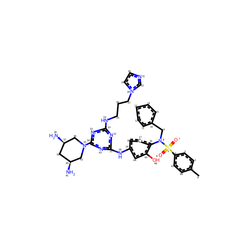 Cc1ccc(S(=O)(=O)N(Cc2ccccc2)c2ccc(Nc3nc(NCCCn4ccnc4)nc(N4C[C@H](N)C[C@H](N)C4)n3)cc2O)cc1